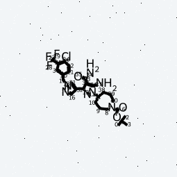 CC(C)(C)OC(=O)N1CCCC(n2nc(-c3cnn(Cc4ccc(Cl)c(C(F)(F)F)c4)c3)c(C(N)=O)c2N)CCC1